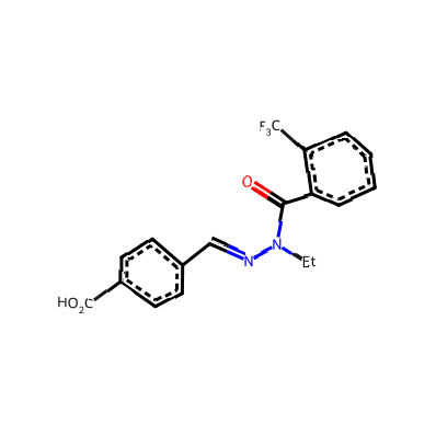 CCN(N=Cc1ccc(C(=O)O)cc1)C(=O)c1ccccc1C(F)(F)F